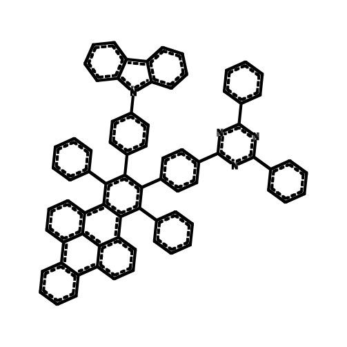 c1ccc(-c2nc(-c3ccccc3)nc(-c3ccc(-c4c(-c5ccc(-n6c7ccccc7c7ccccc76)cc5)c(-c5ccccc5)c5c6cccc7c8ccccc8c8cccc(c5c4-c4ccccc4)c8c76)cc3)n2)cc1